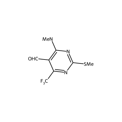 CNc1nc(SC)nc(C(F)(F)F)c1C=O